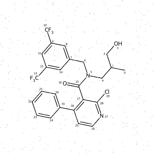 CC(CO)CN(Cc1cc(C(F)(F)F)cc(C(F)(F)F)c1)C(=O)c1c(-c2ccccc2)ccnc1Cl